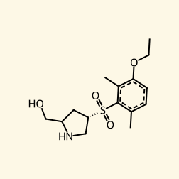 CCOc1ccc(C)c(S(=O)(=O)[C@@H]2CNC(CO)C2)c1C